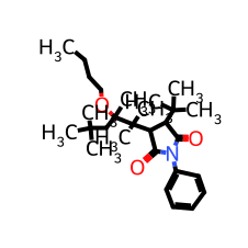 CCCCOC(C)(CC(C)(C)C)C(C)(C)C1C(=O)N(c2ccccc2)C(=O)C1C(C)(C)C